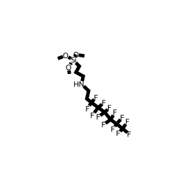 CO[Si](CCCNCCC(F)(F)C(F)(F)C(F)(F)C(F)(F)C(F)(F)C(F)(F)F)(OC)OC